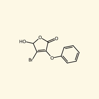 O=C1OC(O)C(Br)=C1Oc1ccccc1